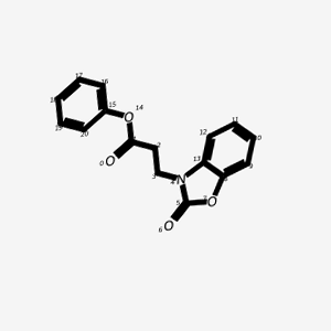 O=C(CCn1c(=O)oc2ccccc21)Oc1ccccc1